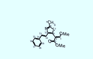 CO/C=C(/C(=O)OC)c1sc(C)nc1/C=C/c1ccccc1